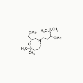 COCC1CN(CCC(OC)[SiH](C)C)CCC[Si](C)(C)O1